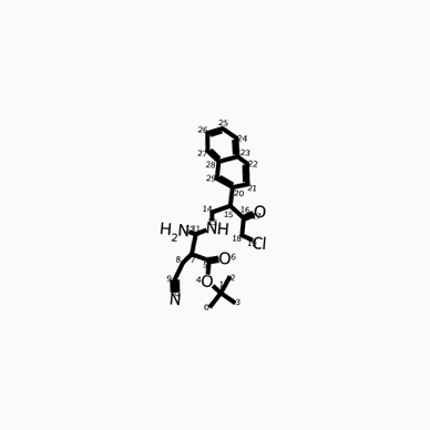 CC(C)(C)OC(=O)C(CC#N)C(N)NCC(C(=O)CCl)c1ccc2ccccc2c1